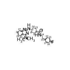 CN(C)c1nc(N[C@H]2CC[C@@H](C(=O)NCCc3ccc(F)cc3)CC2)nc2ccccc12